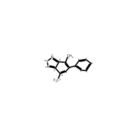 Cc1c(-c2ccccc2)cc(C(F)(F)F)c2nsnc12